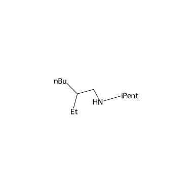 CCCCC(CC)CNC(C)CCC